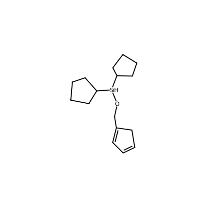 C1=CCC(CO[SiH](C2CCCC2)C2CCCC2)=C1